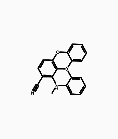 C[SiH]1c2ccccc2B2c3ccccc3Oc3ccc(C#N)c1c32